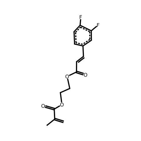 C=C(C)C(=O)OCCOC(=O)/C=C/c1ccc(F)c(F)c1